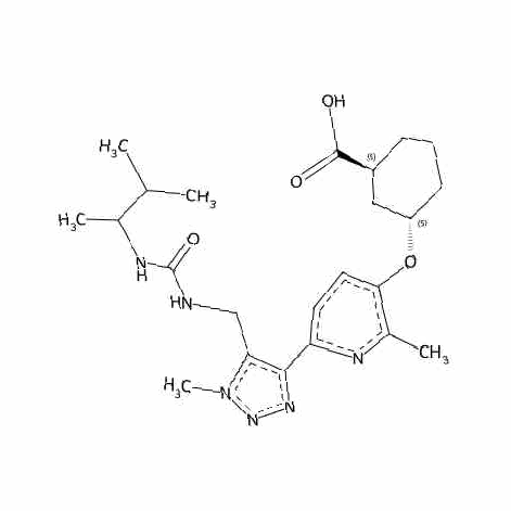 Cc1nc(-c2nnn(C)c2CNC(=O)NC(C)C(C)C)ccc1O[C@H]1CCC[C@H](C(=O)O)C1